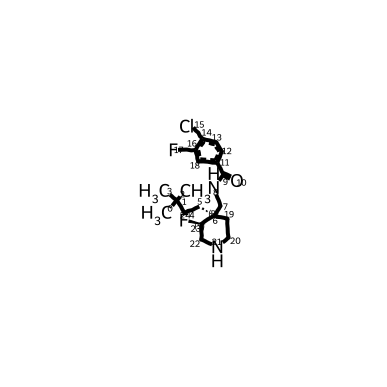 CC(C)(C)CC[C@]1(CNC(=O)c2ccc(Cl)c(F)c2)CCNC[C@H]1F